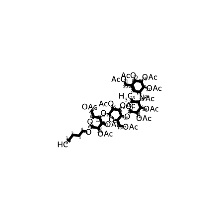 C#CCCCO[C@@H]1OC(COC(C)=O)[C@@H](O[C@H]2OC(COC(C)=O)[C@@H](O[C@H]3OC(C)[C@@H](N(C(C)=O)[C@H]4C=C(COC(C)=O)[C@@H](OC(C)=O)[C@H](OC(C)=O)[C@H]4OC(C)=O)C(OC(C)=O)[C@H]3OC(C)=O)C(OC(C)=O)C2OC(C)=O)C(OC(C)=O)C1OC(C)=O